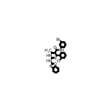 CC1=C(C(=O)Nc2cccc(Br)c2)C(c2ccccc2Cl)N=C(Nc2nc3ccccc3o2)N1